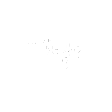 CCOC(=O)[C@H](O)CNC(=O)c1ccc(C(NC(=O)Nc2cc(Cl)cc(Cl)c2)c2ccc(C3=CCCCC3)cc2)cc1